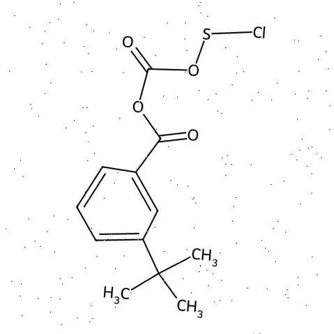 CC(C)(C)c1cccc(C(=O)OC(=O)OSCl)c1